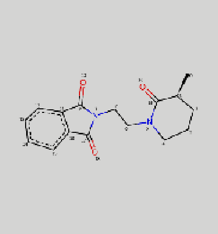 C[C@H]1CCCN(CCN2C(=O)c3ccccc3C2=O)C1=O